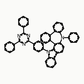 c1ccc(-c2nc(-c3ccccc3)nc(-c3ccc(-n4c5ccccc5c5ccc6c(c54)-c4ccccc4-c4ccccc4N6c4ccccc4)cc3)n2)cc1